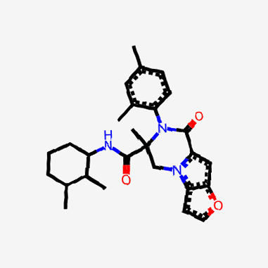 Cc1ccc(N2C(=O)c3cc4occc4n3CC2(C)C(=O)NC2CCCC(C)C2C)c(C)c1